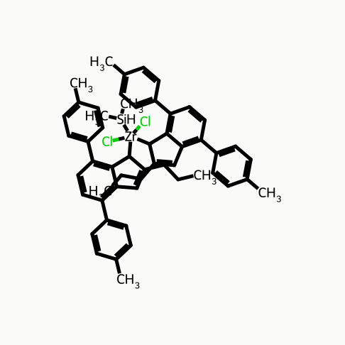 CCCC1=Cc2c(-c3ccc(C)cc3)ccc(-c3ccc(C)cc3)c2[CH]1[Zr]([Cl])([Cl])([CH]1C(CCC)=Cc2c(-c3ccc(C)cc3)ccc(-c3ccc(C)cc3)c21)[SiH](C)C